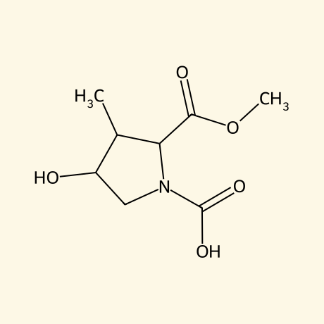 COC(=O)C1C(C)C(O)CN1C(=O)O